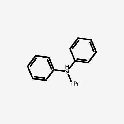 CCC[SiH](c1ccccc1)c1ccccc1